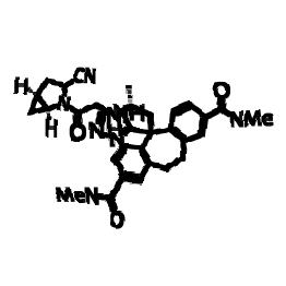 CNC(=O)c1ccc2c(c1)CCc1cc(C(=O)NC)ccc1C2(C[C@@H](C)NCC(=O)N1C(C#N)C[C@@H]2C[C@@H]21)c1nnc[nH]1